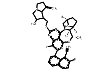 C#Cc1c(F)ccc2cccc(-c3nc4c5c(nc(OCC6C(O)CN7CCC(=C)C67)nc5c3F)N3C[C@H]5CC[C@H](N5)[C@H]3[C@H](C)O4)c12